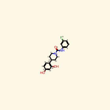 O=C(Nc1cccc(F)c1)N1CCC(c2ccc(O)cc2O)CC1